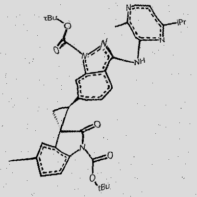 Cc1ccc2c(c1)[C@]1(C[C@H]1c1ccc3c(Nc4nc(C(C)C)cnc4C)nn(C(=O)OC(C)(C)C)c3c1)C(=O)N2C(=O)OC(C)(C)C